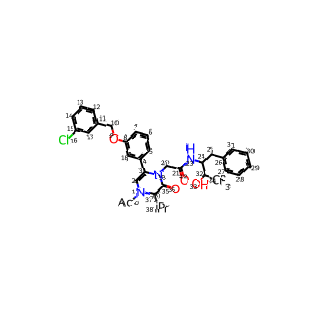 CC(=O)N1C=C(c2cccc(OCc3cccc(Cl)c3)c2)N(CC(=O)NC(Cc2ccccc2)C(O)C(F)(F)F)C(=O)[C@H]1C(C)C